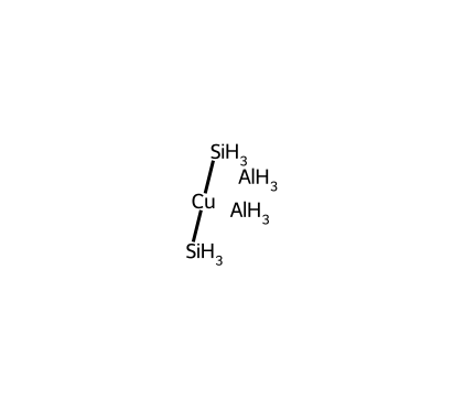 [AlH3].[AlH3].[SiH3][Cu][SiH3]